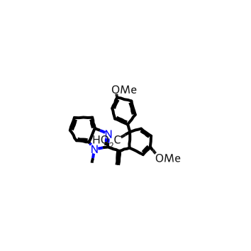 C=C(c1nc2ccccc2n1C)C1C=C(OC)C=CC1(C(=O)O)c1ccc(OC)cc1